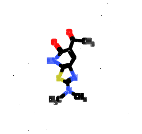 CC(=O)c1cc2nc(N(C)C)sc2[nH]c1=O